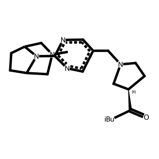 CCC(C)C(=O)[C@@H]1CCN(Cc2cnc(N3C4CCC3CN(C)C4)nc2)C1